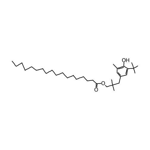 CCCCCCCCCCCCCCCCCC(=O)OCC(C)(C)Cc1cc(C)c(O)c(C(C)(C)C)c1